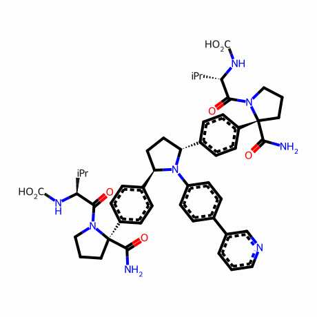 CC(C)[C@H](NC(=O)O)C(=O)N1CCC[C@@]1(C(N)=O)c1ccc([C@H]2CC[C@H](c3ccc([C@]4(C(N)=O)CCCN4C(=O)[C@@H](NC(=O)O)C(C)C)cc3)N2c2ccc(-c3cccnc3)cc2)cc1